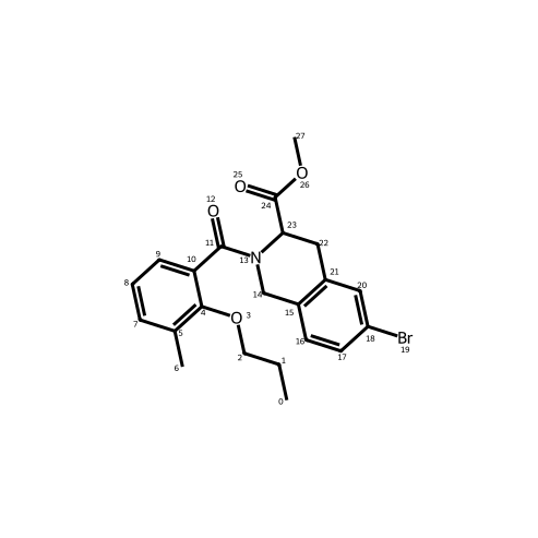 CCCOc1c(C)cccc1C(=O)N1Cc2ccc(Br)cc2CC1C(=O)OC